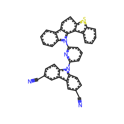 N#Cc1ccc2c(c1)c1cc(C#N)ccc1n2-c1cccc(-n2c3ccccc3c3ccc4sc5ccccc5c4c32)n1